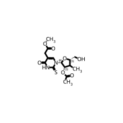 COC(=O)Cc1cn([C@@H]2O[C@H](CO)C(C)[C@@H]2OC(C)=O)c(=S)[nH]c1=O